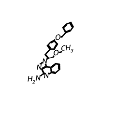 CCOC[C@H](Cc1ccc(OCc2ccccc2)cc1)n1cnc2c(N)nc3ccccc3c21